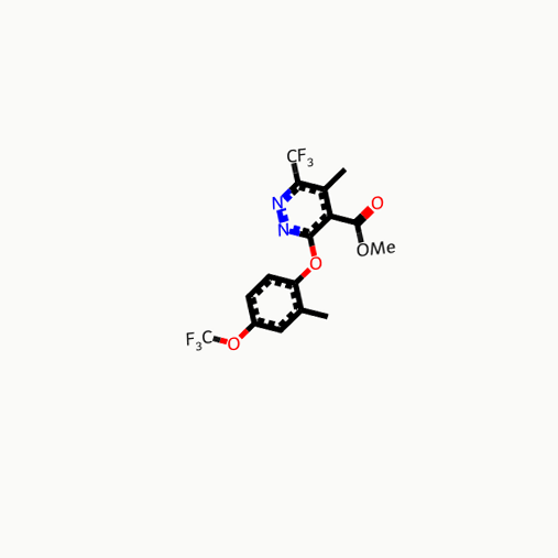 COC(=O)c1c(Oc2ccc(OC(F)(F)F)cc2C)nnc(C(F)(F)F)c1C